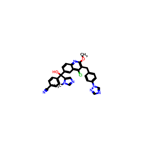 COc1nc2ccc(C(O)(c3ccc(C#N)cc3)c3cncn3C)cc2c(Cl)c1Cc1ccc(-n2cncn2)cc1